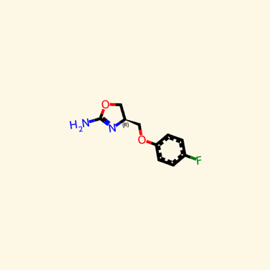 NC1=N[C@H](COc2ccc(F)cc2)CO1